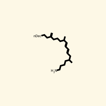 C=C(CCCCCCCCCCCC)CCCC(C)/C=C/C=C/CC(C)CCCCN